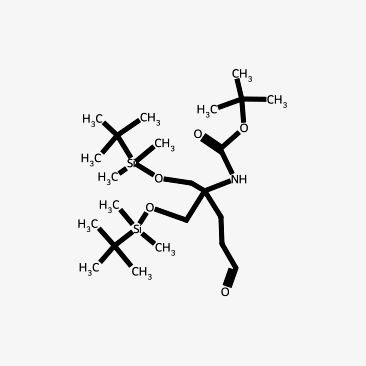 CC(C)(C)OC(=O)NC(CCC=O)(CO[Si](C)(C)C(C)(C)C)CO[Si](C)(C)C(C)(C)C